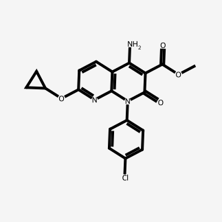 COC(=O)c1c(N)c2ccc(OC3CC3)nc2n(-c2ccc(Cl)cc2)c1=O